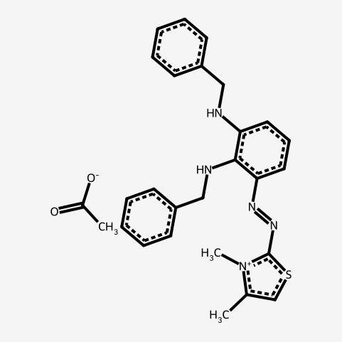 CC(=O)[O-].Cc1csc(N=Nc2cccc(NCc3ccccc3)c2NCc2ccccc2)[n+]1C